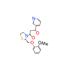 COc1ccccc1OC[C@H]1SCCN1C(=O)CC(=O)c1cccnc1